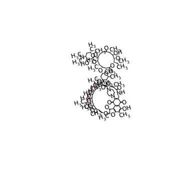 CC[C@H]1OC(=O)[C@H](C)[C@@H](O[C@H]2C[C@@](C)(OC)[C@@H](OC(=O)N3CCN(C4=C5NC(=O)/C(C)=C\C=C\[C@H](C)[C@H](O)[C@@H](C)[C@@H](O)[C@@H](C)[C@H](OC(C)=O)[C@H](C)[C@@H](OC)/C=C/O[C@@]6(C)Oc7c(C)c(O)c(c(c7C6=O)C4=O)C5=O)CC3)[C@H](C)O2)[C@H](C)[C@@H](O[C@@H]2O[C@H](C)C[C@H](N(C)C)[C@H]2O)[C@](C)(OC)CCC(=O)[C@H](C)[C@@H](O)[C@@H]1OC